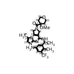 COC1(C(=O)N2Cc3c(N[C@H](C)c4cc(N)cc(C(F)(F)F)c4C)nc4ncc(C)n4c3C2)CCOCC1